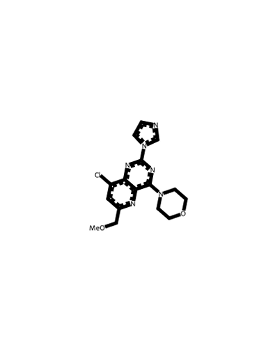 COCc1cc(Cl)c2nc(-n3ccnc3)nc(N3CCOCC3)c2n1